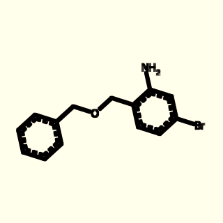 Nc1cc(Br)ccc1COCc1ccccc1